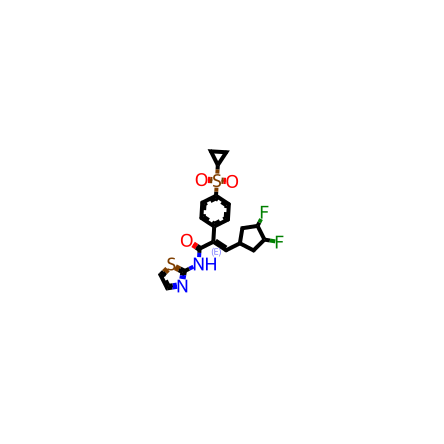 O=C(Nc1nccs1)/C(=C/C1CC(F)C(F)C1)c1ccc(S(=O)(=O)C2CC2)cc1